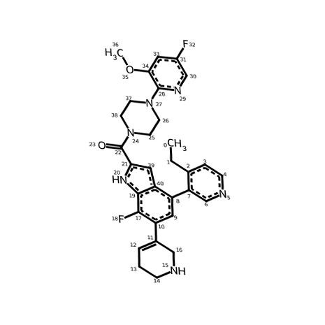 CCc1ccncc1-c1cc(C2=CCCNC2)c(F)c2[nH]c(C(=O)N3CCN(c4ncc(F)cc4OC)CC3)cc12